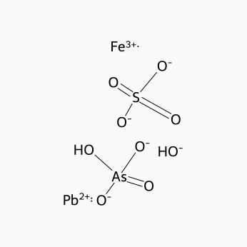 O=S(=O)([O-])[O-].O=[As]([O-])([O-])O.[Fe+3].[OH-].[Pb+2]